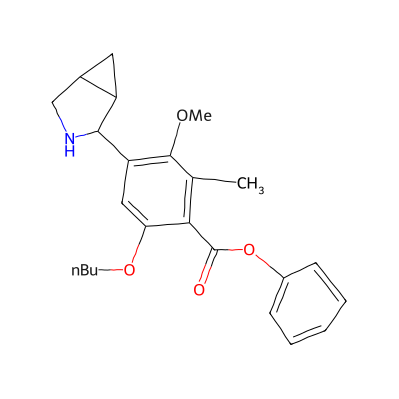 CCCCOc1cc(C2NCC3CC32)c(OC)c(C)c1C(=O)Oc1ccccc1